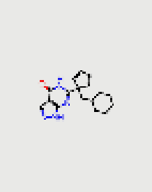 O=c1[nH]c(C2(CC3CCCCC3)C=CC=C2)nc2[nH]ncc12